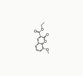 CCOC(=O)c1cc2cccc(OC)c2oc1=O